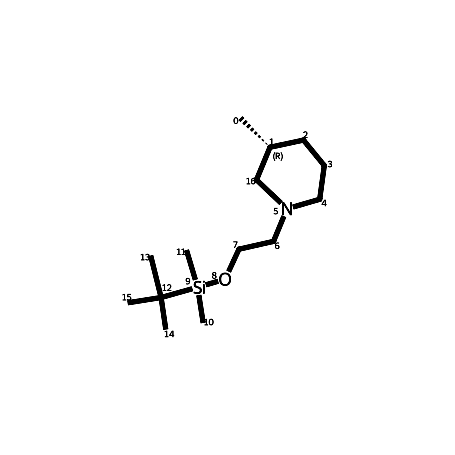 C[C@@H]1CCCN(CCO[Si](C)(C)C(C)(C)C)C1